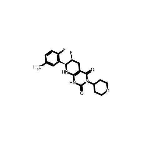 Cc1ccc(F)c([C@@H]2Nc3[nH]c(=O)n(C4CCOCC4)c(=O)c3C[C@@H]2F)c1